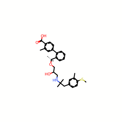 CSc1ccc(CC(C)(C)NCC(O)CO[C@H](C)c2ccccc2-c2ccc(C(=O)O)c(C)c2)cc1C